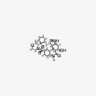 Cc1cccc(Cc2n[nH]c3cc(O)c(C(=O)N(C)c4ccc(S(=O)(=O)N5CCOCC5)cc4)cc23)c1